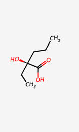 CCC[C@@](O)(CC)C(=O)O